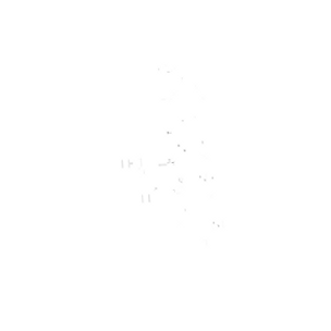 CC(C)Nc1cn2ccn(Cc3cccc(Cl)c3)c(=O)c2c(O)c1=O.Cl